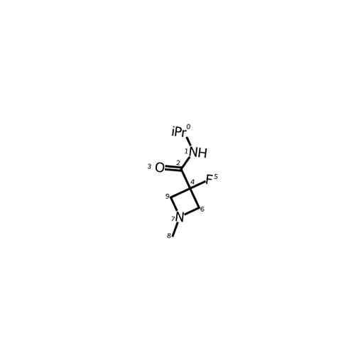 CC(C)NC(=O)C1(F)CN(C)C1